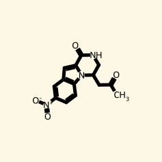 CC(=O)CC1CNC(=O)c2cc3cc([N+](=O)[O-])ccc3n21